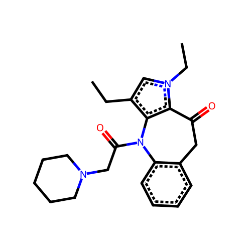 CCc1cn(CC)c2c1N(C(=O)CN1CCCCC1)c1ccccc1CC2=O